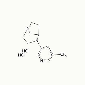 Cl.Cl.FC(F)(F)c1cncc(N2CCN3CCC2C3)c1